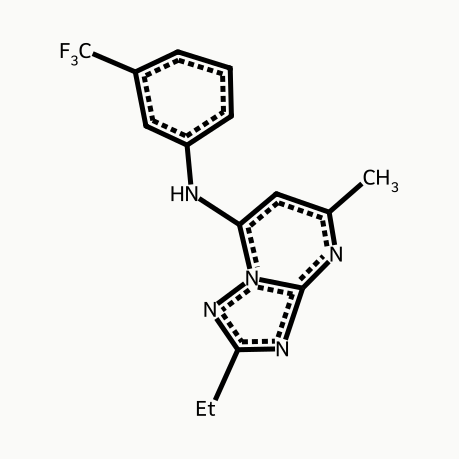 CCc1nc2nc(C)cc(Nc3cccc(C(F)(F)F)c3)n2n1